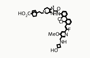 COc1cc(/C(F)=C/c2cccc(-c3cccc(NC(=O)c4nc5c(n4C)CCN(CCC46CCC(C(=O)O)(CC4)C6)C5)c3Cl)c2Cl)ncc1CN[C@H]1C[C@@H](O)C1